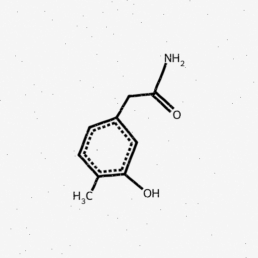 Cc1ccc(CC(N)=O)cc1O